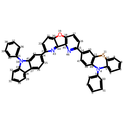 c1ccc(N2c3ccccc3Sc3cc(-c4ccc5oc6ccc(-c7ccc8c9ccccc9n(-c9ccccc9)c8c7)nc6c5n4)ccc32)cc1